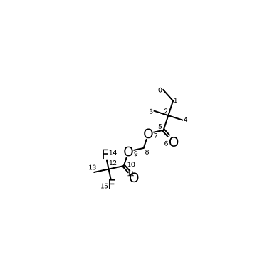 CCC(C)(C)C(=O)OCOC(=O)C(C)(F)F